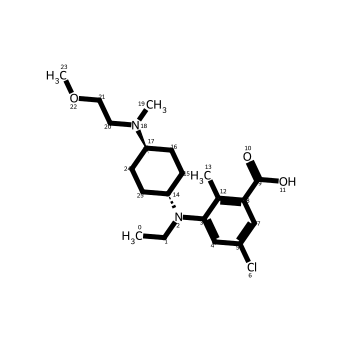 CCN(c1cc(Cl)cc(C(=O)O)c1C)[C@H]1CC[C@H](N(C)CCOC)CC1